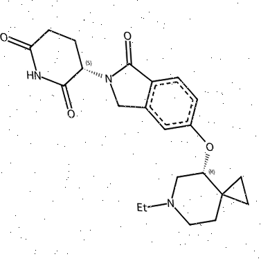 CCN1CCC2(CC2)[C@@H](Oc2ccc3c(c2)CN([C@H]2CCC(=O)NC2=O)C3=O)C1